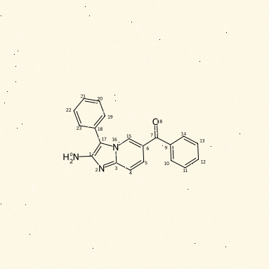 Nc1nc2ccc(C(=O)c3ccccc3)cn2c1-c1ccccc1